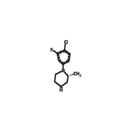 C[C@@H]1CNCCN1c1ccc(Cl)c(F)c1